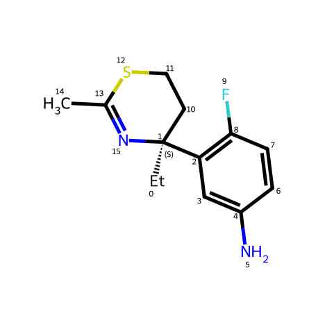 CC[C@@]1(c2cc(N)ccc2F)CCSC(C)=N1